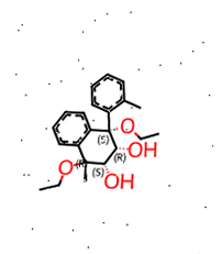 CCO[C@@]1(c2ccccc2C)c2ccccc2[C@@](C)(OCC)[C@@H](O)[C@H]1O